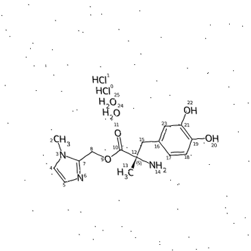 Cl.Cl.Cn1ccnc1COC(=O)[C@@](C)(N)Cc1ccc(O)c(O)c1.O.O